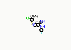 COc1ccc(SN2CCC3=CC(Nc4ccc(F)cc4)=C(C=N)CC3(C=O)C2)cc1Cl